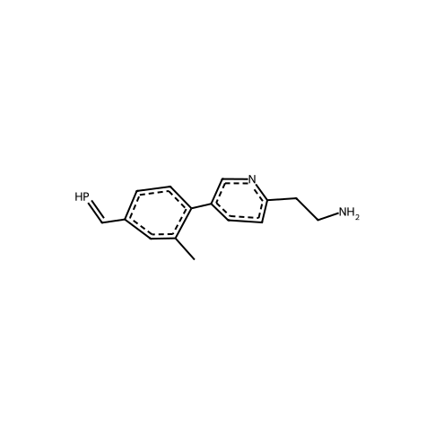 Cc1cc(C=P)ccc1-c1ccc(CCN)nc1